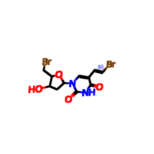 O=c1[nH]c(=O)n(C2CC(O)C(CBr)O2)cc1/C=C/Br